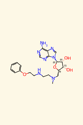 CN(CCNCCOc1ccccc1)C[C@H]1O[C@@H](n2cnc3c(N)ncnc32)[C@H](O)[C@@H]1O